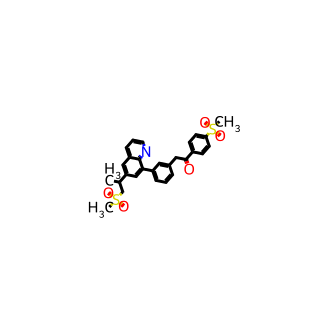 CC(CS(C)(=O)=O)c1cc(-c2cccc(CC(=O)c3ccc(S(C)(=O)=O)cc3)c2)c2ncccc2c1